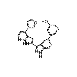 Oc1cncc(-c2cc3c(-c4cc5c(-c6ccoc6)ccnc5[nH]4)n[nH]c3cn2)c1